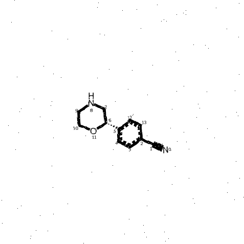 N#Cc1ccc([C@H]2CNCCO2)cc1